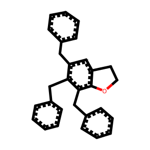 [c]1c(Cc2ccccc2)c(Cc2ccccc2)c(Cc2ccccc2)c2c1CCO2